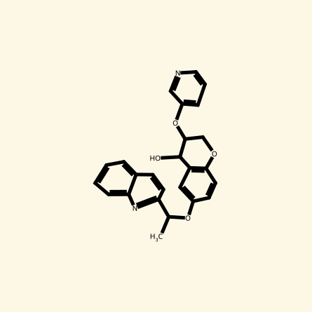 CC(Oc1ccc2c(c1)C(O)C(Oc1cccnc1)CO2)c1ccc2ccccc2n1